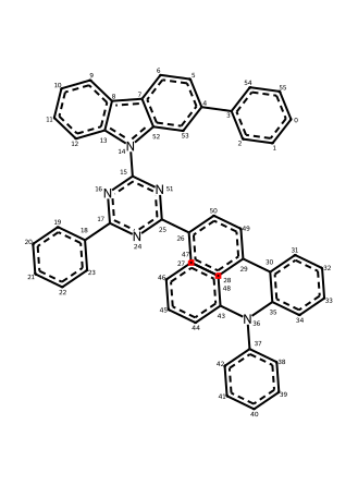 c1ccc(-c2ccc3c4ccccc4n(-c4nc(-c5ccccc5)nc(-c5ccc(-c6ccccc6N(c6ccccc6)c6ccccc6)cc5)n4)c3c2)cc1